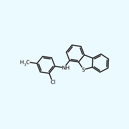 Cc1ccc(Nc2cccc3c2sc2ccccc23)c(Cl)c1